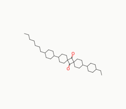 CCCCCCCC1CCC(C2CCC3(CC2)C(=O)C2(CCC(C4CCC(CC)CC4)CC2)C3=O)CC1